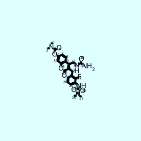 CN(C)C(=O)Oc1ccc2c(CNC(N)=O)c(Cc3cccc(NS(=O)(=O)N(C)C)c3F)c(=O)oc2c1